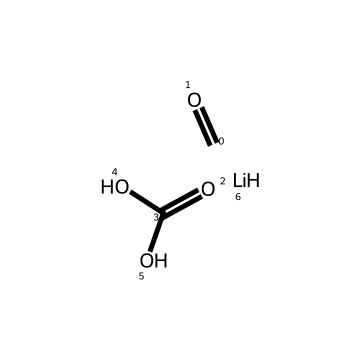 C=O.O=C(O)O.[LiH]